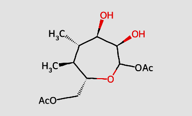 CC(=O)OC[C@H]1OC(OC(C)=O)[C@H](O)[C@H](O)[C@@H](C)[C@@H]1C